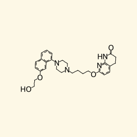 O=C1CCc2ccc(OCCCCN3CCN(c4cccc5ccc(OCCO)cc45)CC3)nc2N1